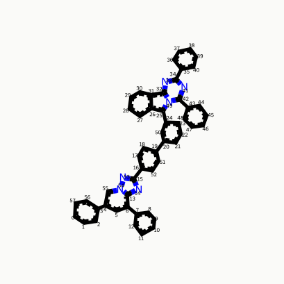 c1ccc(-c2cc(-c3ccccc3)c3nc(-c4ccc(-c5cccc(-c6c7ccccc7c7nc(-c8ccccc8)nc(-c8ccccc8)n67)c5)cc4)nn3c2)cc1